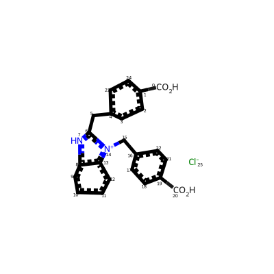 O=C(O)c1ccc(Cc2[nH]c3ccccc3[n+]2Cc2ccc(C(=O)O)cc2)cc1.[Cl-]